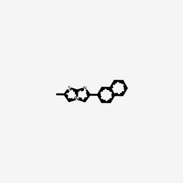 Cc1cn2cc(-c3ccc4ccccc4c3)nc2s1